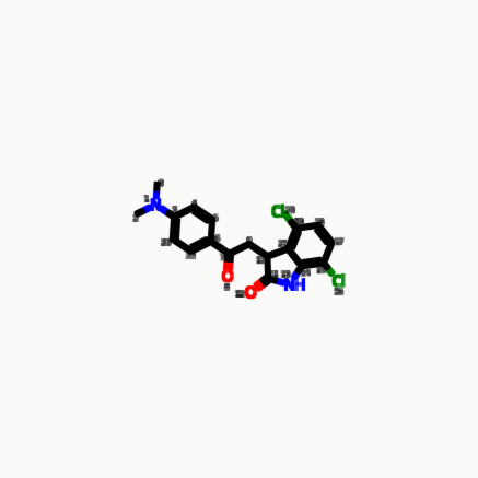 CN(C)c1ccc(C(=O)CC2C(=O)Nc3c(Cl)ccc(Cl)c32)cc1